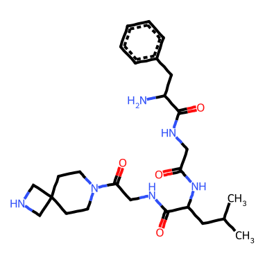 CC(C)CC(NC(=O)CNC(=O)C(N)Cc1ccccc1)C(=O)NCC(=O)N1CCC2(CC1)CNC2